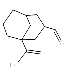 O=CC1CC2CCCC(C(=O)O)(C1)C2